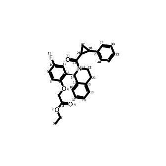 CCOC(=O)COc1ccc(F)cc1[C@@H]1c2ccccc2CCN1C(=O)C1CC1c1ccccc1